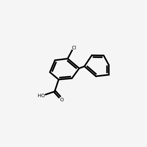 O=C(O)c1ccc(Cl)c(-c2ccccc2)c1